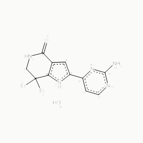 CCC1(CC)CNC(=O)c2cc(-c3ccnc(N)n3)[nH]c21.Cl